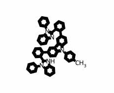 Cc1ccc(-n2c3ccc(-c4ccccc4-c4nc5ccccc5n4-c4ccccc4)cc3c3cc(-c4ccccc4C4Nc5ccccc5N4c4ccccc4)ccc32)cc1